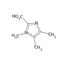 Cc1nc(C(=O)O)n(C)c1C